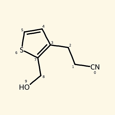 N#CCCc1ccsc1CO